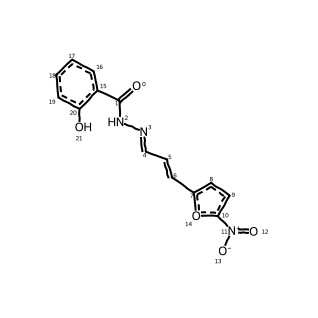 O=C(NN=CC=Cc1ccc([N+](=O)[O-])o1)c1ccccc1O